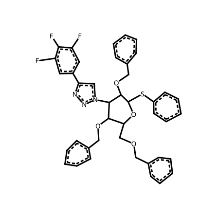 Fc1cc(-c2cn(C3C(OCc4ccccc4)C(COCc4ccccc4)OC(Sc4ccccc4)C3OCc3ccccc3)nn2)cc(F)c1F